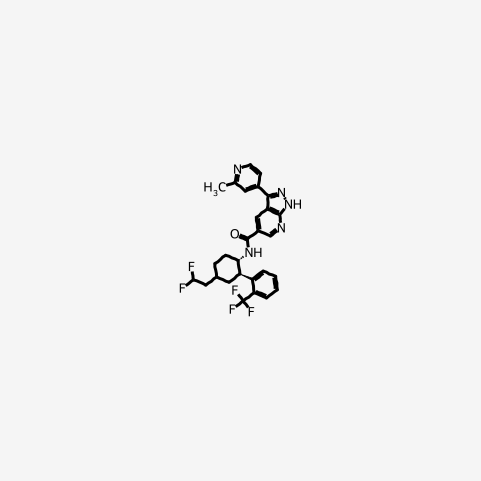 Cc1cc(-c2n[nH]c3ncc(C(=O)N[C@H]4CCC(CC(F)F)C[C@@H]4c4ccccc4C(F)(F)F)cc23)ccn1